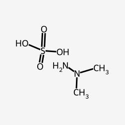 CN(C)N.O=S(=O)(O)O